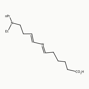 CCCN(CC)CC/C=C/N=C/CCCCC(=O)O